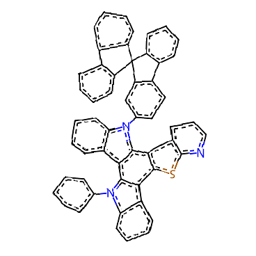 c1ccc(-n2c3ccccc3c3c4sc5ncccc5c4c4c(c5ccccc5n4-c4ccc5c(c4)C4(c6ccccc6-c6ccccc64)c4ccccc4-5)c32)cc1